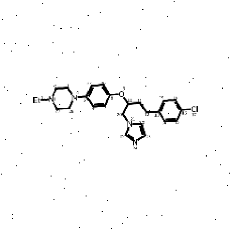 CCN1CCN(c2ccc(OC(CCc3ccc(Cl)cc3)Cn3ccnc3)cc2)CC1